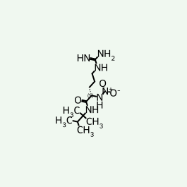 CC(C)C(C)(C)NC(=O)[C@H](CCCNC(=N)N)N[N+](=O)[O-]